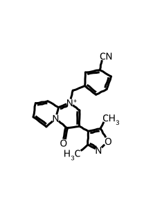 Cc1noc(C)c1-c1c[n+](Cc2cccc(C#N)c2)c2ccccn2c1=O